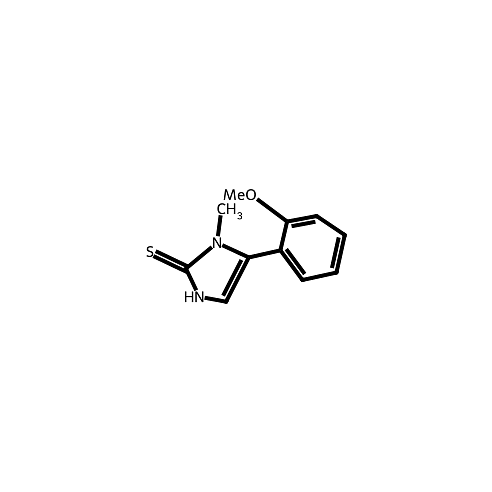 COc1ccccc1-c1c[nH]c(=S)n1C